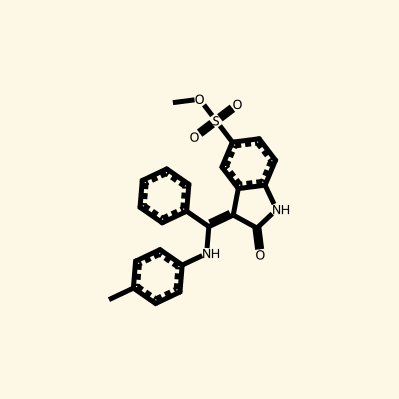 COS(=O)(=O)c1ccc2c(c1)/C(=C(/Nc1ccc(C)cc1)c1ccccc1)C(=O)N2